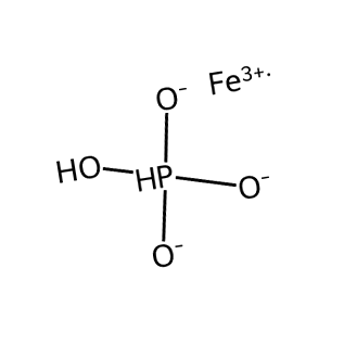 [Fe+3].[O-][PH]([O-])([O-])O